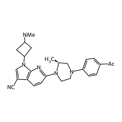 CNC1CC(n2cc(C#N)c3ccc(N4CCN(c5ccc(C(C)=O)cc5)C[C@@H]4C)nc32)C1